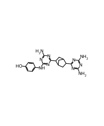 Nc1nc(N)nc(C2CC3CC2CC3c2nc(N)nc(Nc3ccc(O)cc3)n2)n1